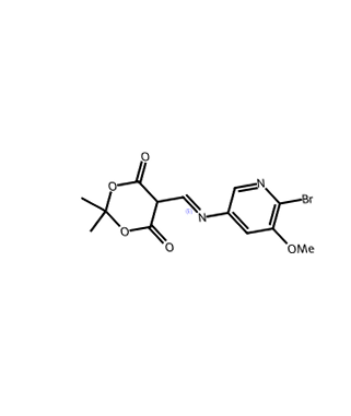 COc1cc(/N=C/C2C(=O)OC(C)(C)OC2=O)cnc1Br